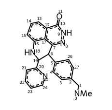 CNCc1ccc(C2c3n[nH]c(=O)c4cccc(c34)NC2c2ccccn2)cc1